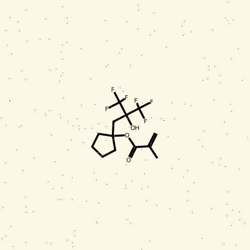 C=C(C)C(=O)OC1(CC(O)(C(F)(F)F)C(F)(F)F)CCCC1